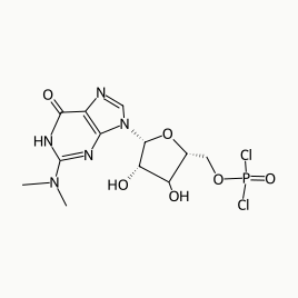 CN(C)c1nc2c(ncn2[C@@H]2O[C@H](COP(=O)(Cl)Cl)C(O)[C@@H]2O)c(=O)[nH]1